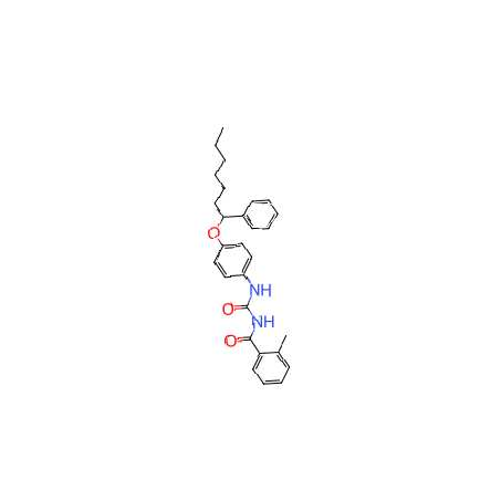 CCCCCCC(Oc1ccc(NC(=O)NC(=O)c2ccccc2C)cc1)c1ccccc1